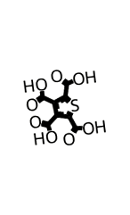 O=C(O)c1sc(C(=O)O)c(C(=O)O)c1C(=O)O